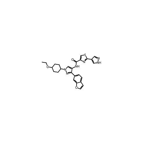 CCOC1CCC(n2cc(NC(=O)c3csc(-c4cn[nH]c4)n3)c(-c3ccc4ccoc4c3)n2)CC1